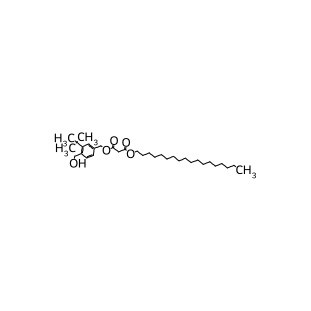 CCCCCCCCCCCCCCCCCCOC(=O)CC(=O)OCc1ccc(CO)c(C(C)(C)C)c1